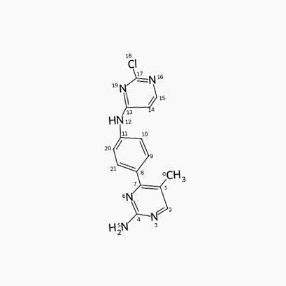 Cc1cnc(N)nc1-c1ccc(Nc2ccnc(Cl)n2)cc1